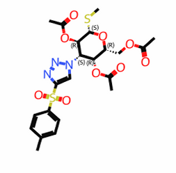 CS[C@@H]1O[C@H](COC(C)=O)[C@H](OC(C)=O)[C@H](n2cc(S(=O)(=O)c3ccc(C)cc3)nn2)[C@H]1OC(C)=O